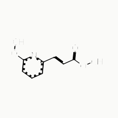 COC(=O)C=Cc1cccc(OC)n1